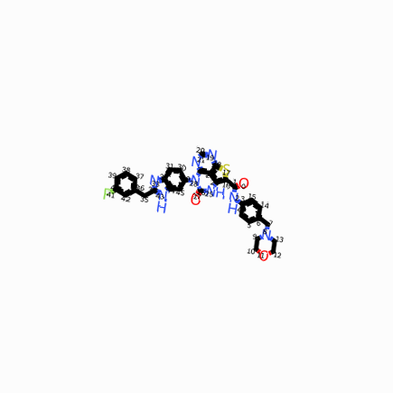 O=C(Nc1ccc(CN2CCOCC2)cc1)c1sc2ncnc3c2c1NC(=O)N3c1ccc2nc(Cc3cccc(F)c3)[nH]c2c1